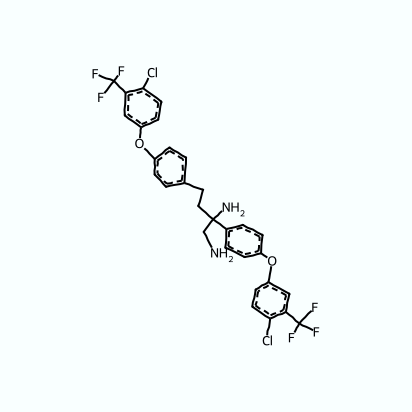 NCC(N)(CCc1ccc(Oc2ccc(Cl)c(C(F)(F)F)c2)cc1)c1ccc(Oc2ccc(Cl)c(C(F)(F)F)c2)cc1